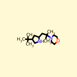 CC(C)(C)C1CNC(CC(C)(C)N2CCOCC2)C1